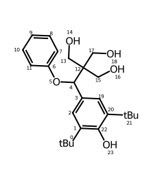 CC(C)(C)c1cc(C(Oc2ccccc2)C(CO)(CO)CO)cc(C(C)(C)C)c1O